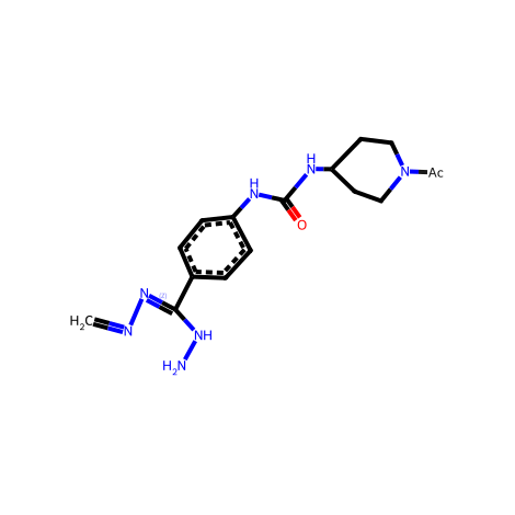 C=N/N=C(\NN)c1ccc(NC(=O)NC2CCN(C(C)=O)CC2)cc1